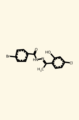 C/C(=N\NC(=O)c1ccc(Br)cc1)c1ccc(Cl)cc1O